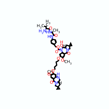 COc1cc2c(cc1OCCCCCOc1cc3c(cc1OC)C(=O)N1CC4(CC4)C[C@H]1C(O)N3C(=O)OCc1ccc(NC(=O)C(C)NC(=O)C(N)C(C)C)cc1)NC[C@@H]1CC3(CC3)CN1C2=O